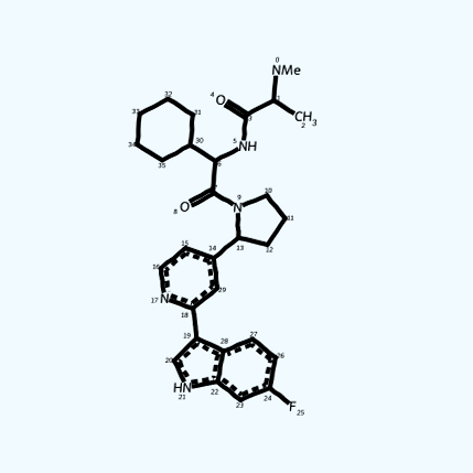 CNC(C)C(=O)NC(C(=O)N1CCCC1c1ccnc(-c2c[nH]c3cc(F)ccc23)c1)C1CCCCC1